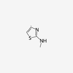 CNc1n[c]cs1